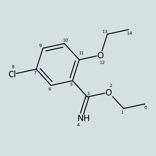 CCOC(=N)c1cc(Cl)ccc1OCC